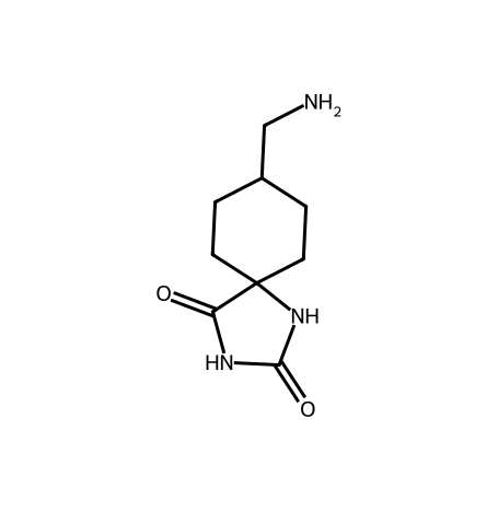 NCC1CCC2(CC1)NC(=O)NC2=O